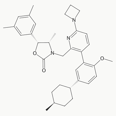 COc1ccc([C@H]2CC[C@H](C)CC2)cc1-c1ccc(N2CCC2)nc1CN1C(=O)O[C@H](c2cc(C)cc(C)c2)[C@@H]1C